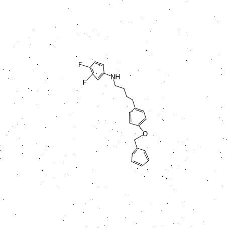 Fc1ccc(NCCCCc2ccc(OCc3ccccc3)cc2)cc1F